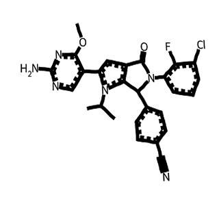 COc1nc(N)ncc1-c1cc2c(n1C(C)C)C(c1ccc(C#N)cc1)N(c1cccc(Cl)c1F)C2=O